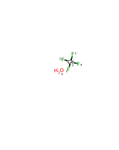 O.[F][Ge]([F])([F])[F]